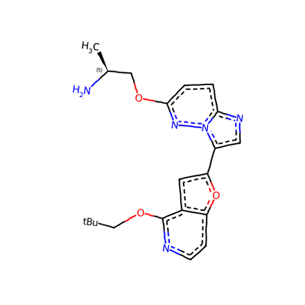 C[C@H](N)COc1ccc2ncc(-c3cc4c(OCC(C)(C)C)nccc4o3)n2n1